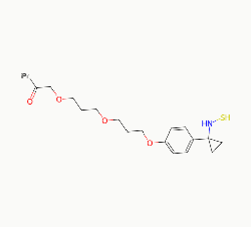 CC(C)C(=O)COCCCOCCCOc1ccc(C2(NS)CC2)cc1